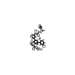 CN(CCC(=O)Nc1cncc(-c2cc(-c3cc(Cl)ccc3F)nc3c2OCCN3C(=O)OC(C)(C)C)c1)C1COC1